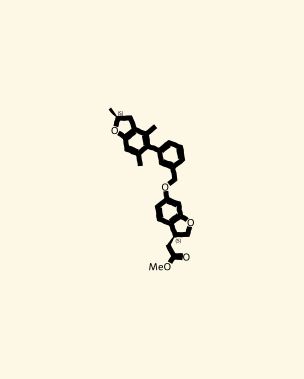 COC(=O)C[C@@H]1COc2cc(OCc3cccc(-c4c(C)cc5c(c4C)C[C@H](C)O5)c3)ccc21